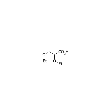 CCOC(C)C(OCC)C(=O)O